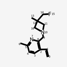 C=Cc1ccc(C)nc1CN1CC(C)(CF)C1